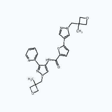 CC1(Cn2cc(-c3ccc(C(=O)Nc4cn(CC5(C)COC5)nc4-c4ccccn4)o3)cn2)COC1